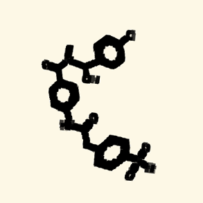 CCS(=O)(=O)c1ccc(CC(=O)Nc2ccc(C(=O)N(C)[C@H](O)c3ccc(Cl)cc3)cc2)cc1